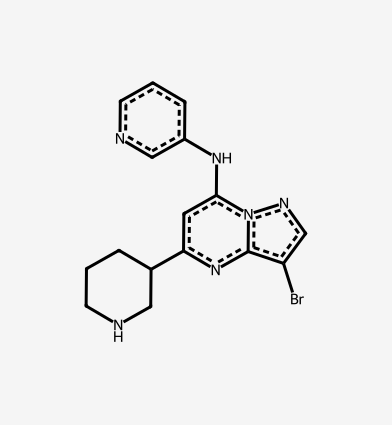 Brc1cnn2c(Nc3cccnc3)cc(C3CCCNC3)nc12